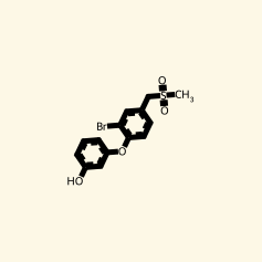 CS(=O)(=O)Cc1ccc(Oc2cccc(O)c2)c(Br)c1